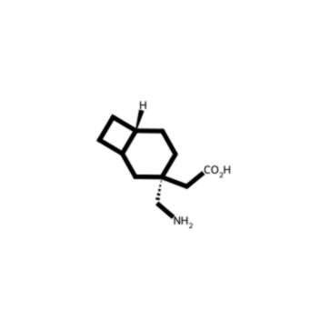 NC[C@@]1(CC(=O)O)CC[C@H]2CCC2C1